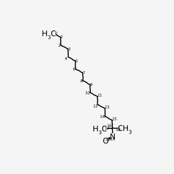 CCCCCCCCCCCCCCCCC(C)(C)N=O